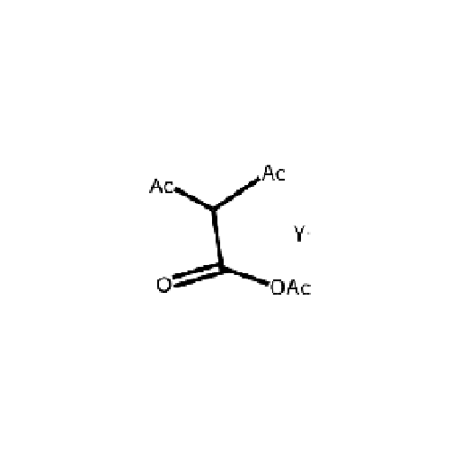 CC(=O)OC(=O)C(C(C)=O)C(C)=O.[Y]